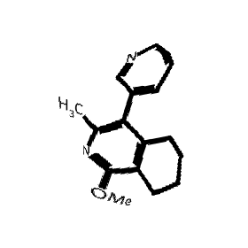 COc1nc(C)c(-c2cccnc2)c2c1CCCC2